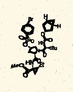 CC[C@@H]1C[C@@]1(NC(=O)[C@@H]1C[C@H](OS(=O)(=O)c2ccc(Br)cc2)CN1C(=O)[C@@H](NC(=O)O[C@@H]1C[C@@H]2C[C@@H]2C1)C(C)(C)C)C(=O)OC